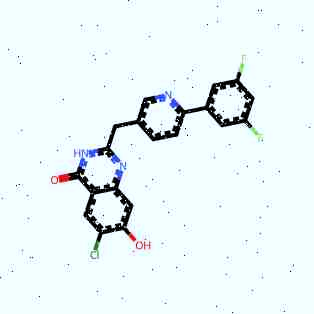 O=c1[nH]c(Cc2ccc(-c3cc(F)cc(F)c3)nc2)nc2cc(O)c(Cl)cc12